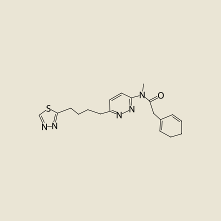 CN(C(=O)CC1=CCCC=C1)c1ccc(CCCCc2nncs2)nn1